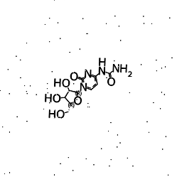 NC(=O)Nc1ccn([C@@H]2O[C@H](CO)C(O)C2O)c(=O)n1